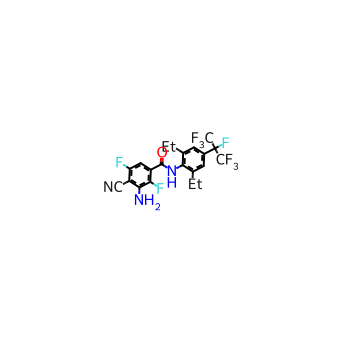 CCc1cc(C(F)(C(F)(F)F)C(F)(F)F)cc(CC)c1NC(=O)c1cc(F)c(C#N)c(N)c1F